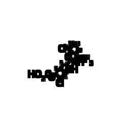 O=C(O)Oc1cc2cc(C(=O)NC(c3cccc(Cl)c3)C(F)(F)F)[nH]c2cc1Cl